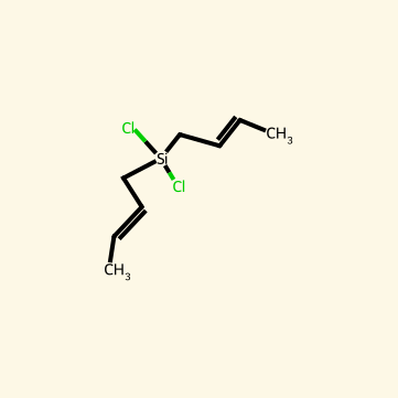 CC=CC[Si](Cl)(Cl)CC=CC